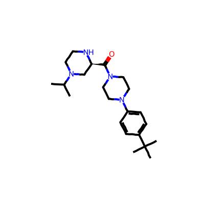 CC(C)N1CCN[C@@H](C(=O)N2CCN(c3ccc(C(C)(C)C)cc3)CC2)C1